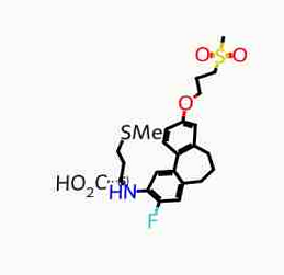 CSCC[C@H](Nc1cc2c(cc1F)CCCc1cc(OCCCS(C)(=O)=O)ccc1-2)C(=O)O